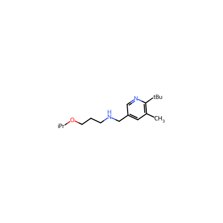 Cc1cc(CNCCCOC(C)C)cnc1C(C)(C)C